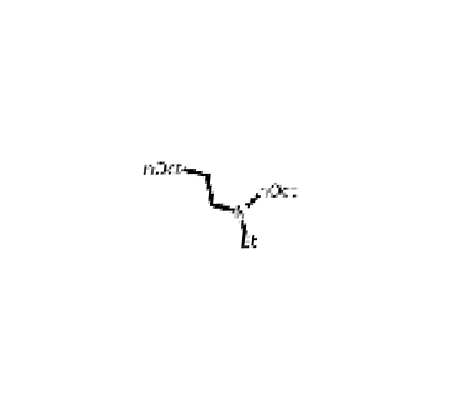 [CH2]CN(CCCCCCCC)CCCCCCCCCC